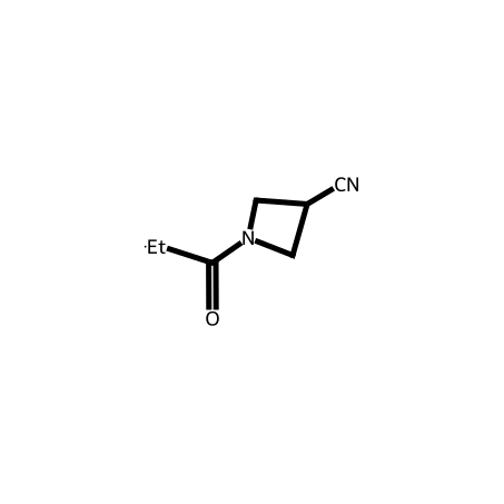 C[CH]C(=O)N1CC(C#N)C1